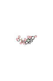 CCC(=O)O[C@]1(C(=O)CSC2CCOC2=O)[C@@H](C)C[C@H]2[C@@H]3CCC4=CC(=O)C=C[C@]4(C)[C@@]3(F)[C@@H](O)C[C@@]21C